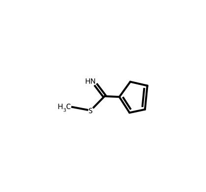 CSC(=N)C1=CC=CC1